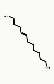 CCCC/C=C/C/C=C/CCCCCCO